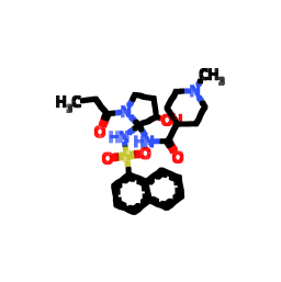 CCC(=O)N1CCC(O)C1(NC(=O)C1CCN(C)CC1)NS(=O)(=O)c1cccc2ccccc12